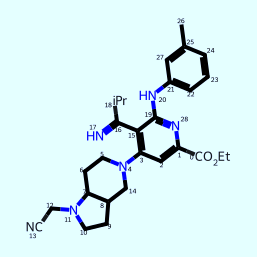 CCOC(=O)c1cc(N2CCC3C(CCN3CC#N)C2)c(C(=N)C(C)C)c(Nc2cccc(C)c2)n1